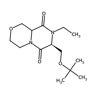 CCN1C(=O)C2COCCN2C(=O)[C@@H]1COC(C)(C)C